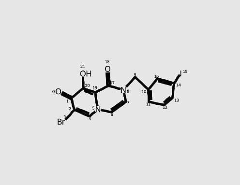 O=c1c(Br)cn2ccn(Cc3cccc(I)c3)c(=O)c2c1O